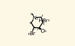 Br.CN1CCC(=O)C(Br)C1